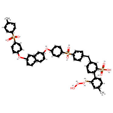 Cc1ccc(S(=O)(=O)c2ccc(Oc3ccc4ccc(Oc5ccc(S(=O)(=O)c6ccc(Cc7ccc(-c8ccc(C)cc8SOOO)c(S(=O)(=O)O)c7)cc6)cc5)cc4c3)cc2)cc1